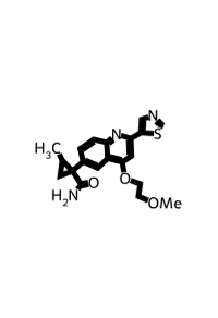 COCCOc1cc(-c2cncs2)nc2ccc(C3(C(N)=O)CC3C)cc12